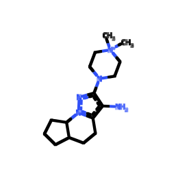 C[N+]1(C)CCN(c2nn3c(c2N)CCC2CCCC23)CC1